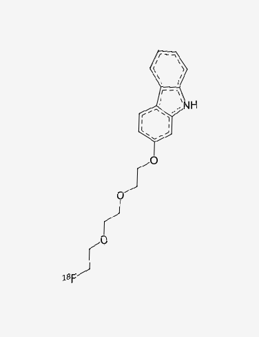 [18F]CCOCCOCCOc1ccc2c(c1)[nH]c1ccccc12